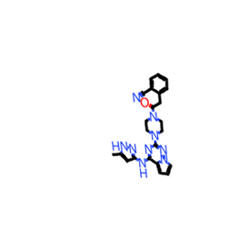 Cc1cc(Nc2nc(N3CCN(C(=O)Cc4ccccc4C#N)CC3)nn3cccc23)n[nH]1